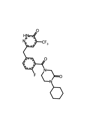 O=C(c1cc(Cc2cc(C(F)(F)F)c(=O)[nH]n2)ccc1F)N1CCN(C2CCCCC2)C(=O)C1